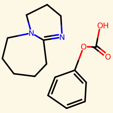 C1CCC2=NCCCN2CC1.O=C(O)Oc1ccccc1